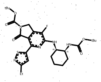 CCc1cc(-c2nc(N[C@@H]3CCCC[C@@H]3NC(=O)OC(C)(C)C)c(F)c3c2C(=O)N(C(=O)OC(C)(C)C)C3)sn1